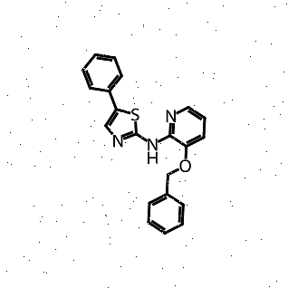 c1ccc(COc2cccnc2Nc2ncc(-c3ccccc3)s2)cc1